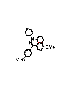 COc1ccc(C(=NN(c2ccccc2)c2ccccc2)c2ccc(OC)cc2)cc1